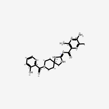 Cc1nc(C(=O)/N=C2\NCC3(CCN(C(=O)c4ncccc4O)CC3)N2)c(N)nc1N